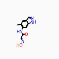 Cc1cc2cn[nH]c2cc1NC(=O)C=NO